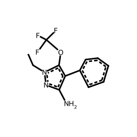 CCn1nc(N)c(-c2ccccc2)c1OC(F)(F)F